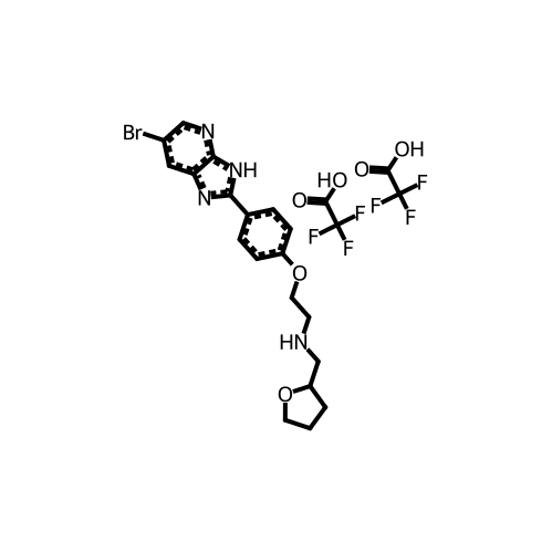 Brc1cnc2[nH]c(-c3ccc(OCCNCC4CCCO4)cc3)nc2c1.O=C(O)C(F)(F)F.O=C(O)C(F)(F)F